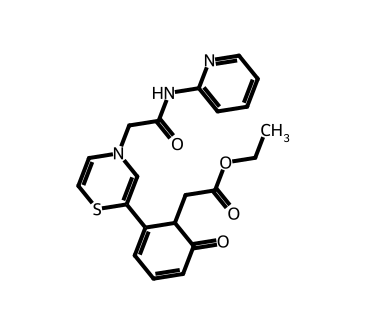 CCOC(=O)CC1C(=O)C=CC=C1C1=CN(CC(=O)Nc2ccccn2)C=CS1